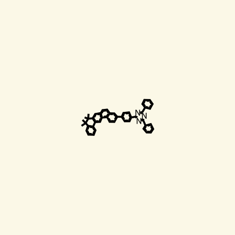 CC1(C)c2ccccc2-c2cc3c(ccc4cc(-c5ccc(-c6nc(-c7ccccc7)nc(-c7ccccc7)n6)cc5)ccc43)cc2C1(C)C